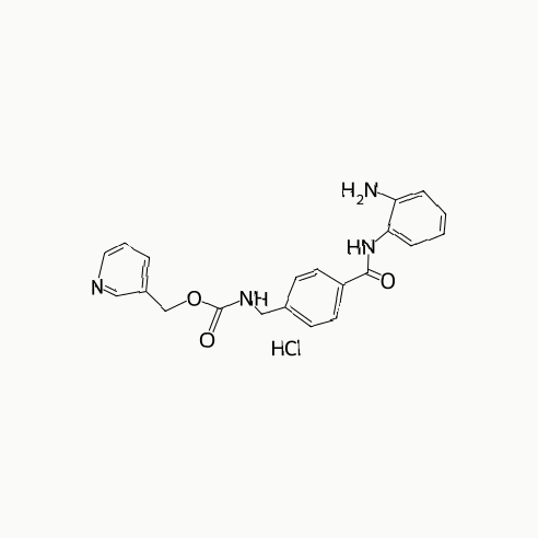 Cl.Nc1ccccc1NC(=O)c1ccc(CNC(=O)OCc2cccnc2)cc1